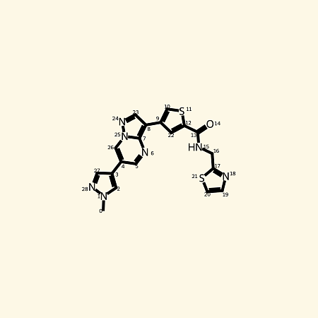 Cn1cc(-c2cnc3c(-c4csc(C(=O)NCc5nccs5)c4)cnn3c2)cn1